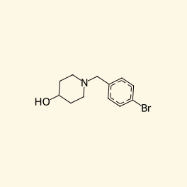 OC1CCN(Cc2ccc(Br)cc2)CC1